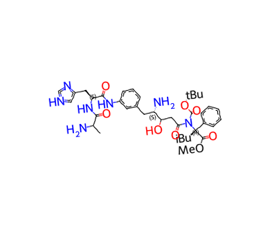 CCC(C)[C@](C(=O)OC)(c1ccccc1)N(C(=O)CC(O)[C@@H](N)Cc1cccc(NC(=O)[C@H](Cc2c[nH]cn2)NC(=O)C(C)N)c1)C(=O)OC(C)(C)C